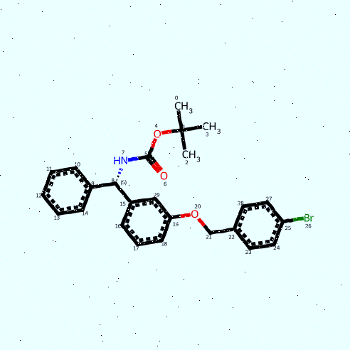 CC(C)(C)OC(=O)N[C@@H](c1ccccc1)c1cccc(OCc2ccc(Br)cc2)c1